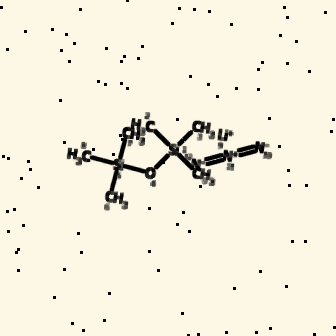 C[Si](C)(C)O[Si](C)(C)C.[Li+].[N-]=[N+]=[N-]